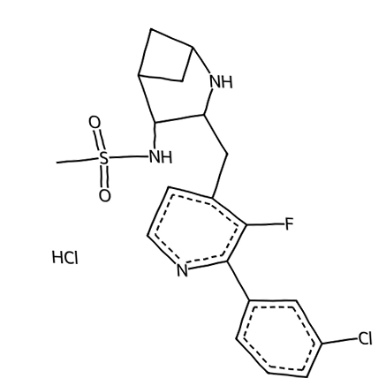 CS(=O)(=O)NC1C2CC(C2)NC1Cc1ccnc(-c2cccc(Cl)c2)c1F.Cl